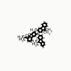 Cc1cc2c(cc1N(c1ccc3c(c1)C(C)(C)c1ccccc1-3)c1ccc3oc4c(C(C)(C)C)cccc4c3c1)C(C)(C)c1ccccc1-2